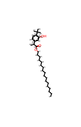 CCCCCCCCCCCCCCCCCCOC(=O)C(C)c1ccc(C(C)(C)C)c(O)c1